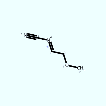 COC/C=N/C#N